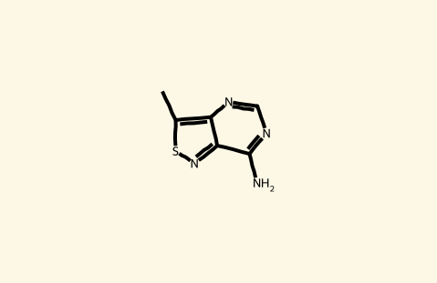 Cc1snc2c(N)ncnc12